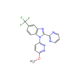 COc1ccc(-n2c(-c3ncccn3)nc3cc(C(F)(F)F)ccc32)nn1